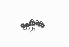 O=C(NC1=Cc2ccccc2OC1)c1ccc2c(c1)OCCN2Cc1ccc(-c2ccccc2C(=O)O)cc1